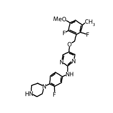 COc1cc(C)c(F)c(COc2cnc(Nc3ccc(N4CCNCC4)c(F)c3)nc2)c1F